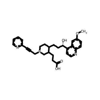 COc1ccc2nccc([C@@H](O)CCC3CCN(CC#Cc4ccccn4)CC3CCC(=O)O)c2c1